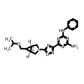 CC(C)OCC1[C@H]2CN(c3nc(-c4nc(N)nc(Nc5ccccc5)n4)no3)C[C@@H]12